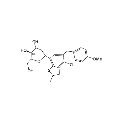 COc1ccc(Cc2cc(C3CC(O)[C@H](O)C(CO)O3)c3c(c2Cl)CC(C)S3)cc1